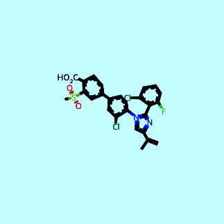 C=C(C)c1cn(-c2ccc(-c3ccc(C(=O)O)c(S(C)(=O)=O)c3)cc2Cl)c(-c2c(F)cccc2Cl)n1